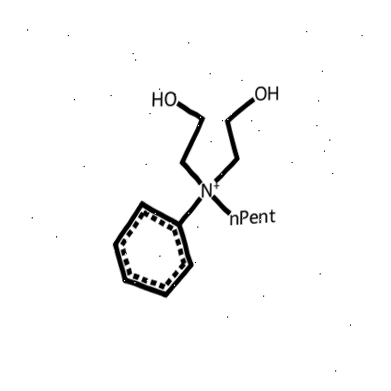 CCCCC[N+](CCO)(CCO)c1ccccc1